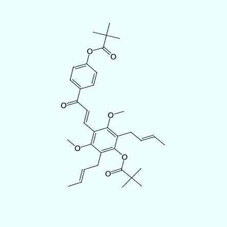 CC=CCc1c(OC)c(C=CC(=O)c2ccc(OC(=O)C(C)(C)C)cc2)c(OC)c(CC=CC)c1OC(=O)C(C)(C)C